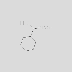 CNC(C)C1CCCCC1